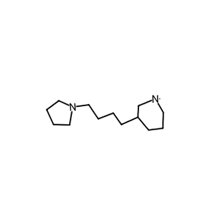 C(CCN1CCCC1)CC1CCC[N]C1